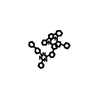 c1ccc(-c2ccc(-c3nc(-c4ccccc4)nc(-c4cccc(-c5cccc(-n6c7ccccc7c7ccc8c9ccccc9n(-c9cccc(-c%10ccccc%10)c9)c8c76)c5)c4)n3)cc2)cc1